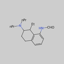 CCCN(CCC)C1CCc2cccc(NC=O)c2C1CC